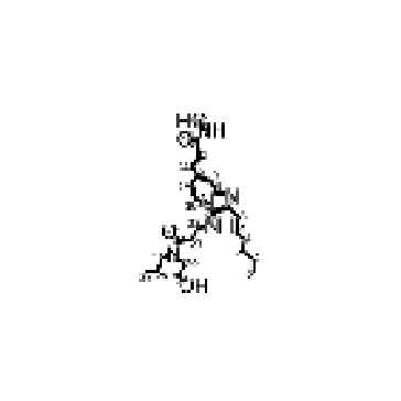 CCCCCCc1nc2cc(C=CC(=O)NO)ccn2c1NCCC(=O)N(CCC)CCO